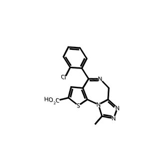 Cc1nnc2n1-c1sc(C(=O)O)cc1C(c1ccccc1Cl)=NC2